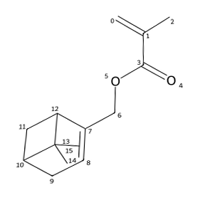 C=C(C)C(=O)OCC1=CCC2CC1C2(C)C